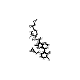 COCC(=O)N1CC[C@@H](NC(=O)c2c(C)[nH]c3c(-c4c(OCC5CC5)ccc(C)c4F)ncnc23)[C@H](F)C1